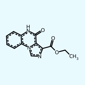 CCOC(=O)c1ncn2c1c(=O)[nH]c1ccccc12